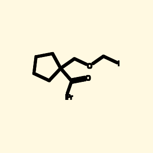 CC(C)C(=O)C1(COCI)CCCC1